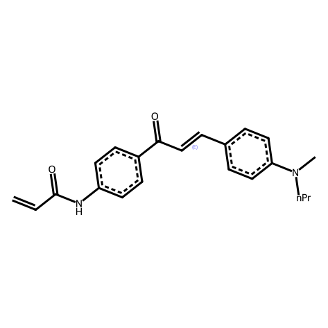 C=CC(=O)Nc1ccc(C(=O)/C=C/c2ccc(N(C)CCC)cc2)cc1